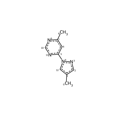 Cc1cnn(-c2cc(C)ncn2)c1